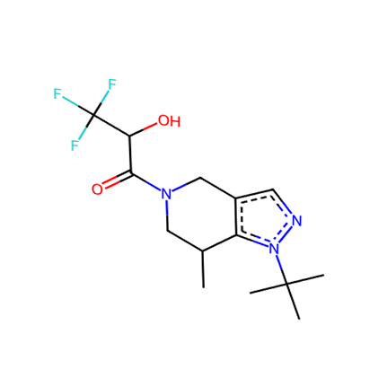 CC1CN(C(=O)C(O)C(F)(F)F)Cc2cnn(C(C)(C)C)c21